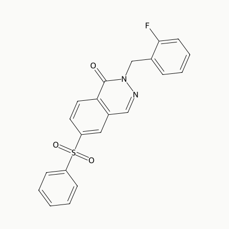 O=c1c2ccc(S(=O)(=O)c3ccccc3)cc2cnn1Cc1ccccc1F